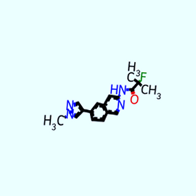 Cn1cc(-c2ccc3cnc(NC(=O)C(C)(C)F)cc3c2)cn1